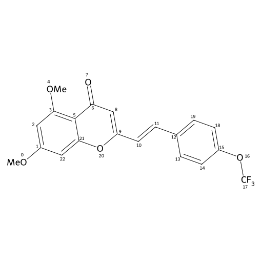 COc1cc(OC)c2c(=O)cc(/C=C/c3ccc(OC(F)(F)F)cc3)oc2c1